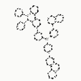 c1ccc(-c2c(-c3ccccc3)c3cc(-c4cccc(N(c5ccc(-c6ccc7c(ccc8ccccc87)c6)cc5)c5cccc(-c6cccc7ccccc67)c5)c4)ccc3c3ccccc23)cc1